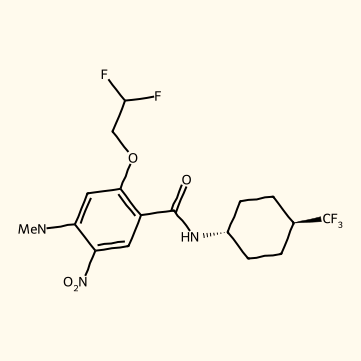 CNc1cc(OCC(F)F)c(C(=O)N[C@H]2CC[C@H](C(F)(F)F)CC2)cc1[N+](=O)[O-]